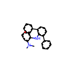 CN(C)c1ccccc1Nc1c(-c2ccccc2)cccc1-c1ccccc1